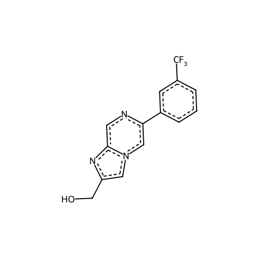 OCc1cn2cc(-c3cccc(C(F)(F)F)c3)ncc2n1